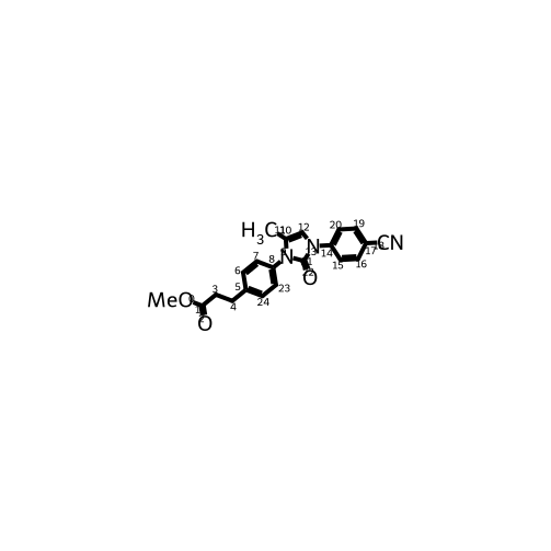 COC(=O)CCc1ccc(-n2c(C)cn(-c3ccc(C#N)cc3)c2=O)cc1